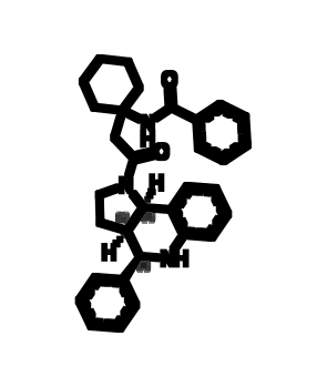 O=C(NC1(CC(=O)N2CC[C@@H]3[C@H](c4ccccc4)Nc4ccccc4[C@@H]32)CCCCC1)c1ccccc1